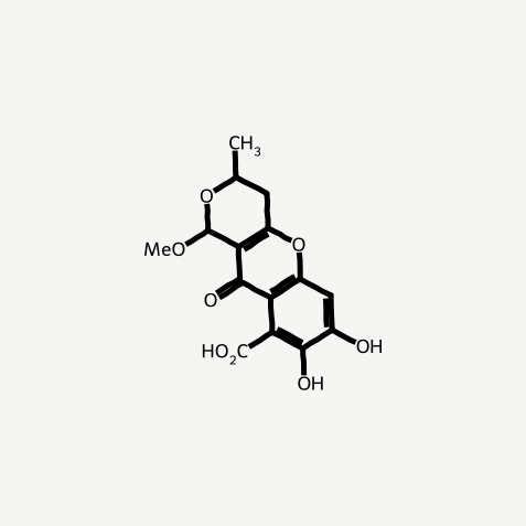 COC1OC(C)Cc2oc3cc(O)c(O)c(C(=O)O)c3c(=O)c21